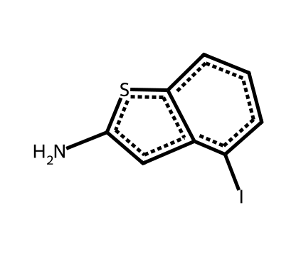 Nc1cc2c(I)cccc2s1